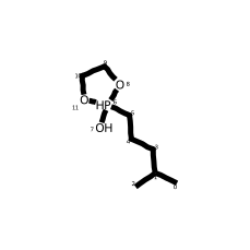 CC(C)CCC[PH]1(O)OCCO1